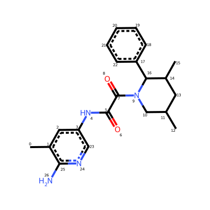 Cc1cc(NC(=O)C(=O)N2CC(C)CC(C)C2c2ccccc2)cnc1N